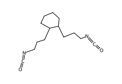 O=C=NCCCC1CCCCC1CCCN=C=O